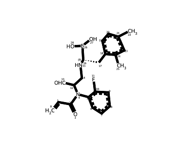 C=CC(=O)N(c1ccccc1F)C(C=O)CN[C@@H](Cc1ccc(C)cc1C)B(O)O